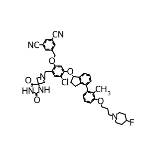 Cc1c(OCCCN2CCC(F)CC2)cccc1-c1cccc2c1CC[C@@H]2Oc1cc(OCc2cc(C#N)cc(C#N)c2)c(CN2CC3(C2)NC(=O)NC3=O)cc1Cl